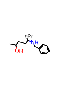 CCCC(CCC(C)O)NCc1ccccc1